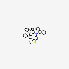 C=C/C(=C\C1C(C)C2C=CC=CC2C1(c1ccccc1)c1ccccc1)N(c1ccc2sc3c(c2c1)CCCC3)c1cc2ccccc2c2ccccc12